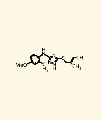 CC=C(C)CSc1nc(Nc2ccc(OC)cc2C)n[nH]1